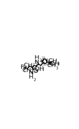 CC(C)(F)CCC(CC(O)C(N)Cc1cccc(C(C)(C)O)c1)C(N)=O